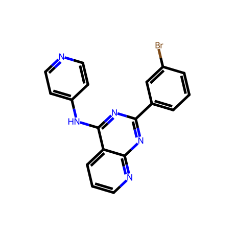 Brc1cccc(-c2nc(Nc3ccncc3)c3cccnc3n2)c1